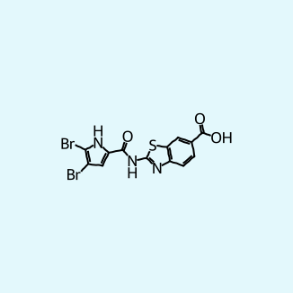 O=C(O)c1ccc2nc(NC(=O)c3cc(Br)c(Br)[nH]3)sc2c1